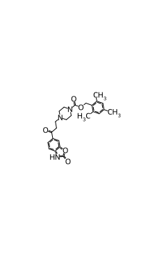 Cc1cc(C)c(COC(=O)N2CCN(CCC(=O)c3ccc4[nH]c(=O)oc4c3)CC2)c(C)c1